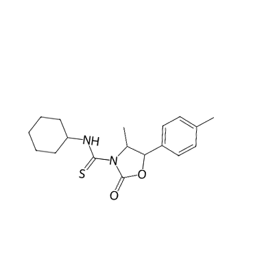 Cc1ccc(C2OC(=O)N(C(=S)NC3CCCCC3)C2C)cc1